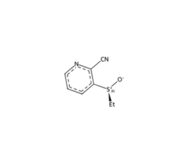 CC[S@+]([O-])c1cccnc1C#N